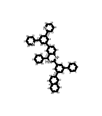 c1ccc(-c2cc(C3=Nc4ccc(-c5cc(-c6ccccn6)cc(-c6ccccn6)c5)cc4C(c4ccccc4)N3)cc(-c3ccc4ccccc4c3)c2)cc1